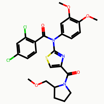 COCC1CCCN1C(=O)c1csc(N(C(=O)c2ccc(Cl)cc2Cl)c2ccc(OC)c(OC)c2)n1